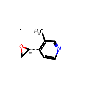 Cc1cnccc1[C@@H]1CO1